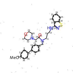 COc1ccc(-c2ccc(CN(CCCNc3nsc4ccccc34)C(=O)CN3CCOCC3)cc2)cc1